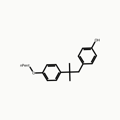 CCCCCOc1ccc(C(C)(C)Cc2ccc(O)cc2)cc1